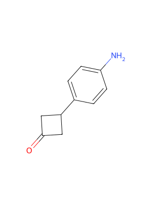 Nc1ccc(C2CC(=O)C2)cc1